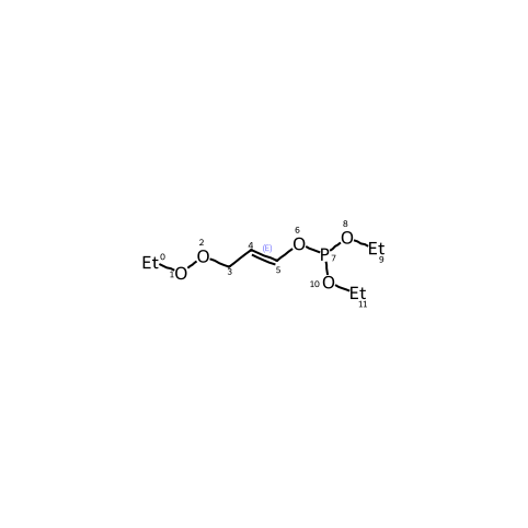 CCOOC/C=C/OP(OCC)OCC